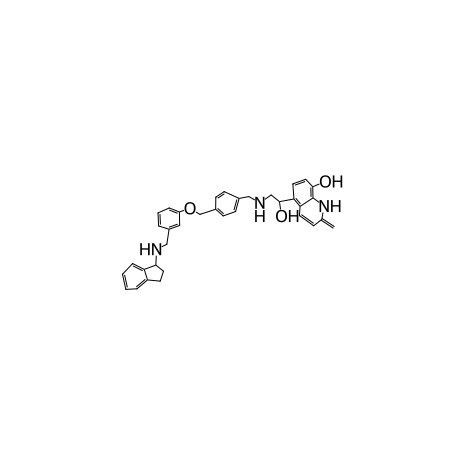 C=C1C=Cc2c(C(O)CNCc3ccc(COc4cccc(CNC5CCc6ccccc65)c4)cc3)ccc(O)c2N1